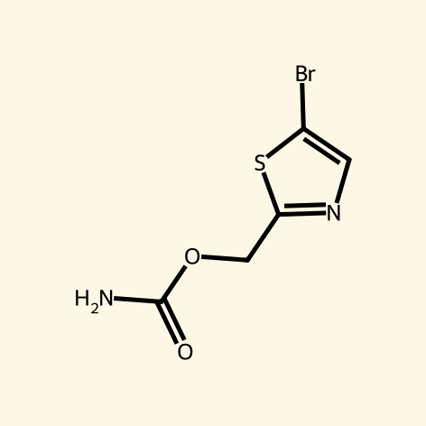 NC(=O)OCc1ncc(Br)s1